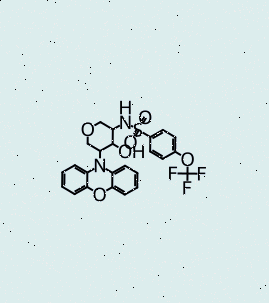 O=S(=O)(NC1COCC(N2c3ccccc3Oc3ccccc32)C1O)c1ccc(OC(F)(F)F)cc1